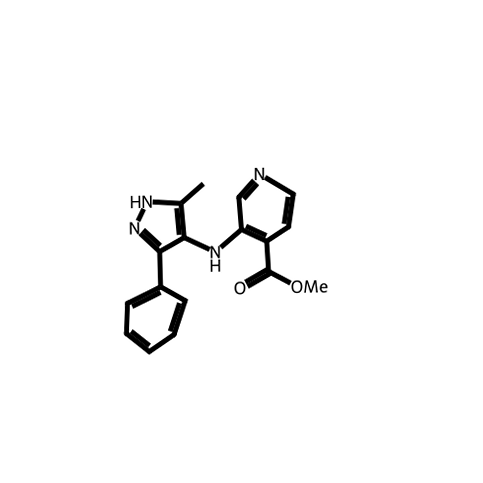 COC(=O)c1ccncc1Nc1c(-c2ccccc2)n[nH]c1C